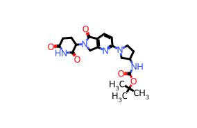 CC(C)(C)OC(=O)NC1CCN(c2ccc3c(n2)CN(C2CCC(=O)NC2=O)C3=O)C1